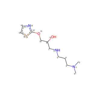 CN(C)CCCNCC(O)COc1nccs1